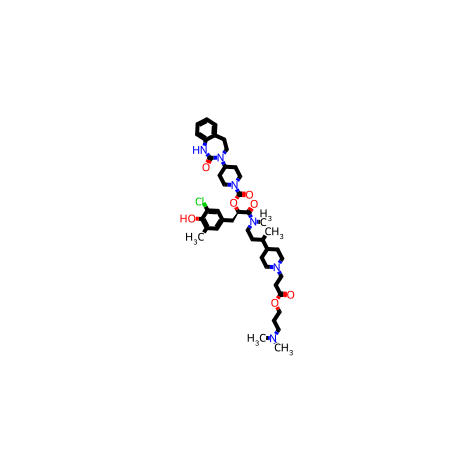 Cc1cc(C[C@@H](OC(=O)N2CCC(N3CCc4ccccc4NC3=O)CC2)C(=O)N(C)CCC(C)C2CCN(CCC(=O)OCCCN(C)C)CC2)cc(Cl)c1O